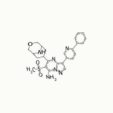 CS(=O)(=O)c1c(C2CC3COCC(C2)N3)nc2c(-c3ccc(-c4ccccc4)nc3)cnn2c1N